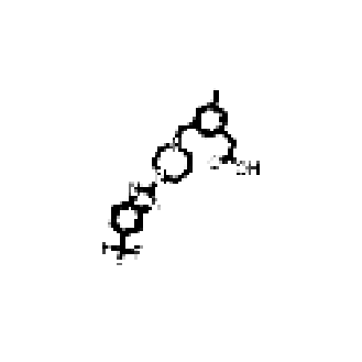 Cc1cc(CC(=O)O)cc(CN2CCCN(c3nc4ccc(C(F)(F)F)cc4s3)CC2)c1